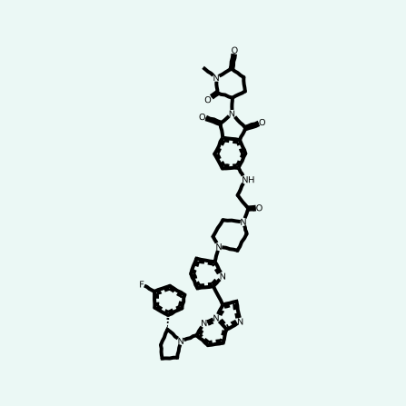 CN1C(=O)CCC(N2C(=O)c3ccc(NCC(=O)N4CCN(c5cccc(-c6cnc7ccc(N8CCC[C@@H]8c8cccc(F)c8)nn67)n5)CC4)cc3C2=O)C1=O